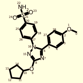 COc1ccc(-c2nc(OC3CCCC3)nn2-c2ccc(S(N)(=O)=O)cc2)cc1